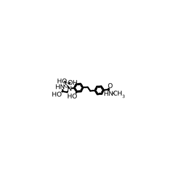 CNC(=O)c1ccc(CCc2ccc(N3CC(O)NS3(O)O)c(O)c2)cc1